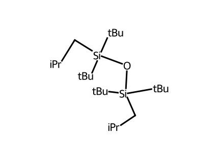 CC(C)C[Si](O[Si](CC(C)C)(C(C)(C)C)C(C)(C)C)(C(C)(C)C)C(C)(C)C